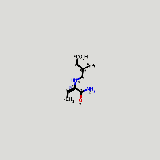 C/C=C(/NC[C@H](CCC)CC(=O)O)C(N)=O